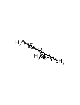 [CH2]C/C=C/CCCCC(CCCCCCCCCCCCC[CH2])C(C)C